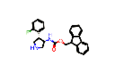 O=C(N[C@H]1CNC[C@@H]1c1ccccc1F)OCC1c2ccccc2-c2ccccc21